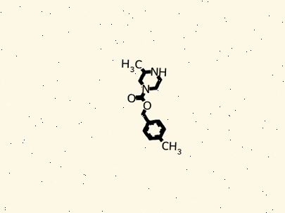 Cc1ccc(COC(=O)N2CCNC(C)C2)cc1